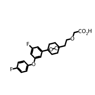 O=C(O)COCCC12CCC(c3cc(F)cc(Oc4ccc(F)cc4)c3)(CC1)OC2